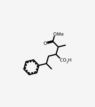 COC(=O)C(C)C(CC(C)c1ccccc1)C(=O)O